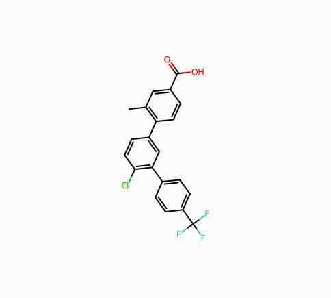 Cc1cc(C(=O)O)ccc1-c1ccc(Cl)c(-c2ccc(C(F)(F)F)cc2)c1